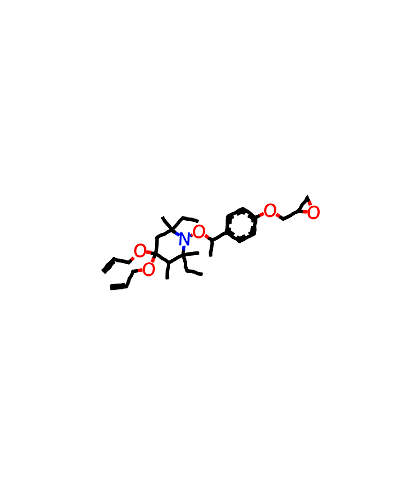 C=CCOC1(OCC=C)CC(C)(CC)N(OC(C)c2ccc(OCC3CO3)cc2)C(C)(CC)C1C